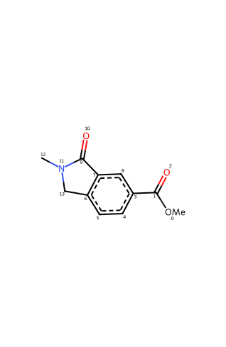 COC(=O)c1ccc2c(c1)C(=O)N(C)C2